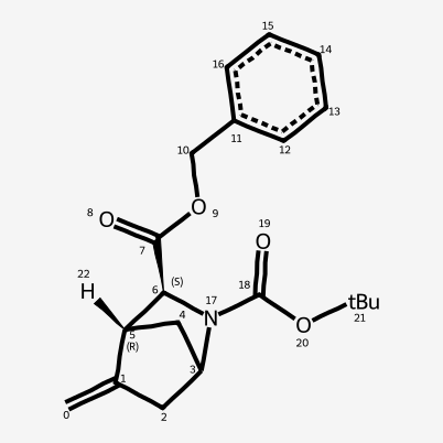 C=C1CC2C[C@H]1[C@@H](C(=O)OCc1ccccc1)N2C(=O)OC(C)(C)C